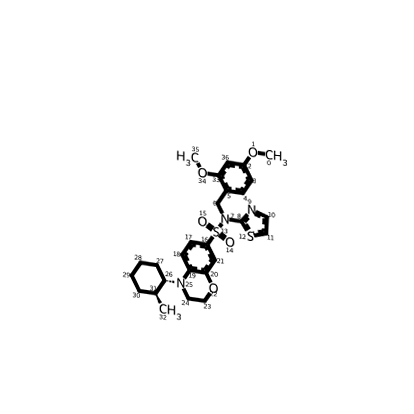 COc1ccc(CN(c2nccs2)S(=O)(=O)c2ccc3c(c2)OCCN3[C@H]2CCCC[C@@H]2C)c(OC)c1